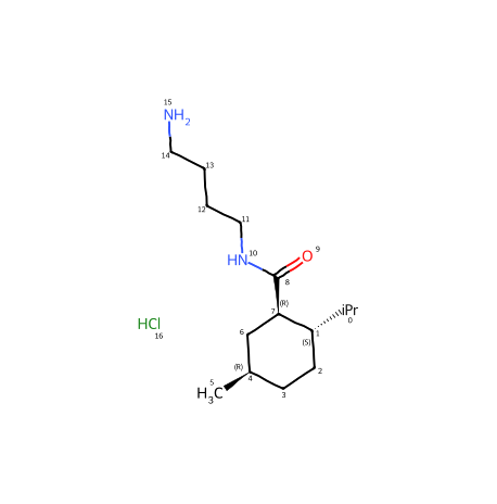 CC(C)[C@@H]1CC[C@@H](C)C[C@H]1C(=O)NCCCCN.Cl